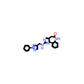 O=C1Cc2cnc(NCc3cnn(-c4ccccc4)n3)nc2-c2ccccc2N1